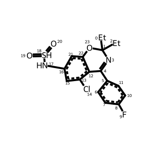 CCC1(CC)N=C(c2ccc(F)cc2)c2c(Cl)cc(N[SH](=O)=O)cc2O1